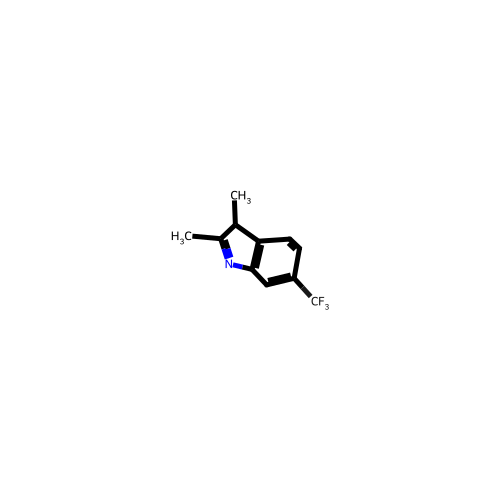 CC1=Nc2cc(C(F)(F)F)ccc2C1C